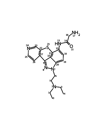 CCN(CC)CCn1nc2c3c(c(NC(=O)CN)ccc31)Sc1cnccc1-2